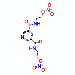 O=C(NCCO[N+](=O)[O-])c1cncc(C(=O)NCCO[N+](=O)[O-])c1